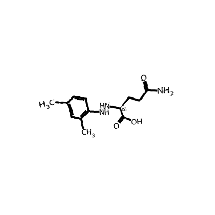 Cc1ccc(NN[C@@H](CCC(N)=O)C(=O)O)c(C)c1